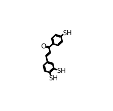 O=C(C=Cc1ccc(S)c(S)c1)c1ccc(S)cc1